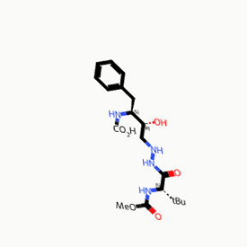 COC(=O)N[C@H](C(=O)NNC[C@@H](O)[C@H](Cc1ccccc1)NC(=O)O)C(C)(C)C